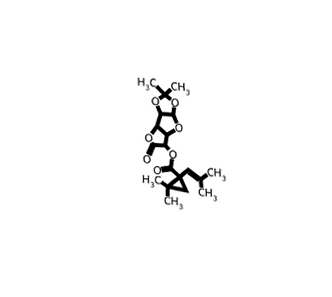 CC(C)=CC1(C(=O)OC2C(=O)OC3C4OC(C)(C)OC4OC23)CC1(C)C